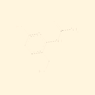 CCc1ccc(C)nc1NC(N)=S